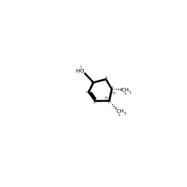 C[C@@H]1C=CC(O)C[C@@H]1C